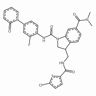 CN(C)C(=O)c1ccc2c(c1)N(C(=O)Nc1ccc(-n3ccccc3=O)cc1F)CC2CNC(=O)c1ccc(Cl)s1